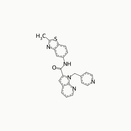 Cc1nc2cc(NC(=O)c3cc4cccnc4n3Cc3ccncc3)ccc2s1